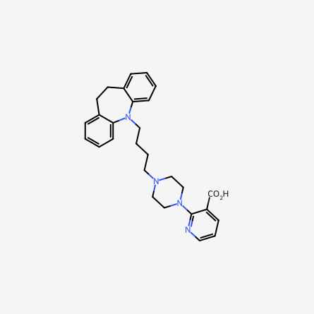 O=C(O)c1cccnc1N1CCN(CCCCN2c3ccccc3CCc3ccccc32)CC1